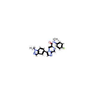 CN(C(=O)c1cn2c(-c3ccc4c(cnn4C)c3)cnc2cn1)c1ccc(F)cc1